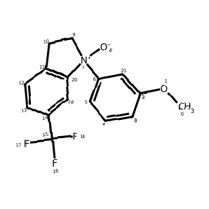 COc1cccc([N+]2([O-])CCc3ccc(C(F)(F)F)cc32)c1